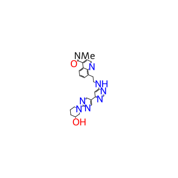 CNC(=O)c1ccnc2c(CCNc3cc(-c4cnc(N5CCCC(O)C5)nc4)ncn3)cccc12